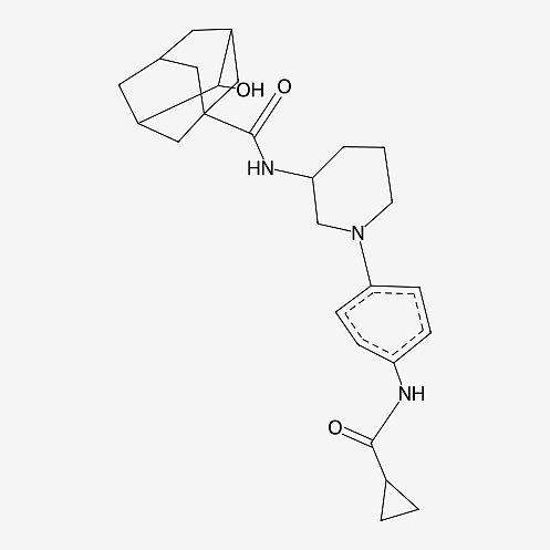 O=C(Nc1ccc(N2CCCC(NC(=O)C34CC5CC(C3)C(O)C(C5)C4)C2)cc1)C1CC1